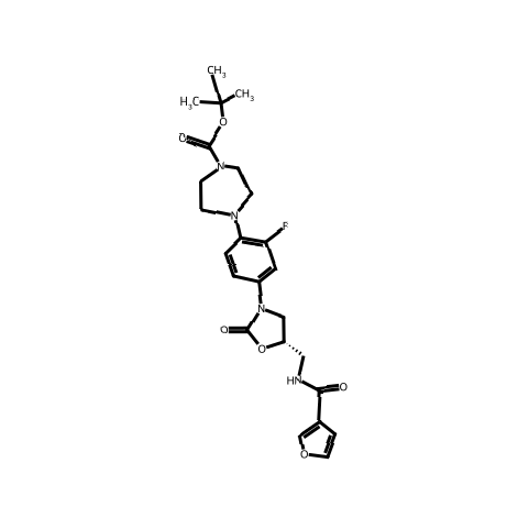 CC(C)(C)OC(=O)N1CCN(c2ccc(N3C[C@H](CNC(=O)c4ccoc4)OC3=O)cc2F)CC1